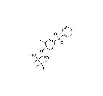 Cc1cc(S(=O)(=O)c2ccccc2)ccc1NC(=O)C(C)(O)C(F)(F)F